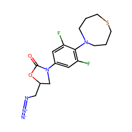 [N-]=[N+]=NCC1CN(c2cc(F)c(N3CCCSCCC3)c(F)c2)C(=O)O1